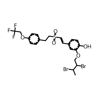 CC(Br)C(Br)COc1cc(/C=C/S(=O)(=O)CCc2ccc(OCC(F)(F)F)cc2)ccc1O